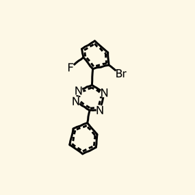 Fc1cccc(Br)c1-c1nnc(-c2ccccc2)nn1